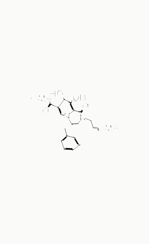 COCCN1C[C@H](Cc2ccccc2)N2C=C(C(=O)OC)C(O)C(O)=C2C1=O